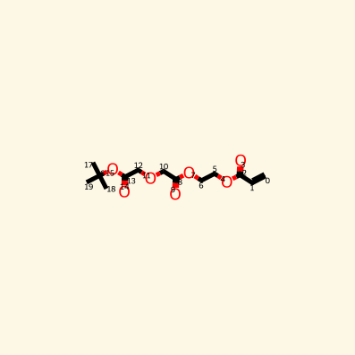 C=CC(=O)OCCOC(=O)COCC(=O)OC(C)(C)C